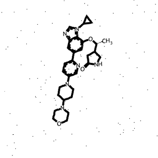 C[C@@H](Oc1cc(-c2ccc(N3CCC(N4CCOCC4)CC3)cn2)cc2ncn(C3CC3)c12)C1CNC(=O)C1